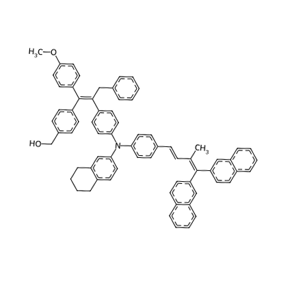 COc1ccc(/C(=C(\Cc2ccccc2)c2ccc(N(c3ccc(/C=C/C(C)=C(c4ccc5ccccc5c4)c4ccc5ccccc5c4)cc3)c3ccc4c(c3)CCCC4)cc2)c2ccc(CO)cc2)cc1